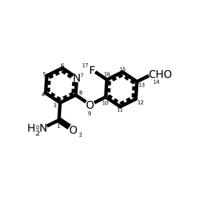 NC(=O)c1cccnc1Oc1ccc(C=O)cc1F